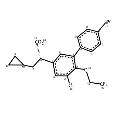 CC(C)c1ccc(-c2cc([C@H](CC3CC3)C(=O)O)cc(Cl)c2OCC(F)(F)F)cc1